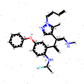 C=C/C=C\n1ncc(/C(=C/NC)C(=C)c2cc(Oc3ccccc3)ccc2NC(C)F)c1C